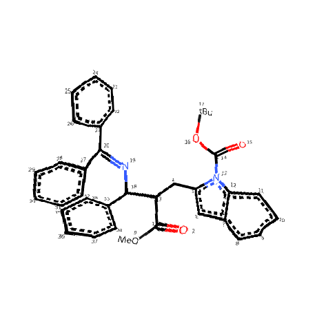 COC(=O)C(Cc1cc2ccccc2n1C(=O)OC(C)(C)C)C(N=C(c1ccccc1)c1ccccc1)c1ccccc1